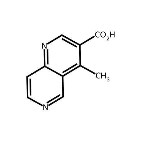 Cc1c(C(=O)O)cnc2ccncc12